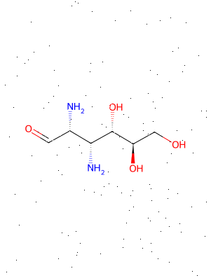 N[C@@H]([C@H](O)[C@H](O)CO)[C@@H](N)C=O